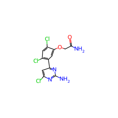 NC(=O)COc1cc(-c2cc(Cl)nc(N)n2)c(Cl)cc1Cl